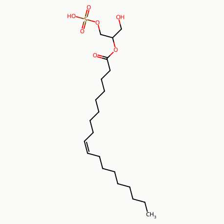 CCCCCCCC/C=C\CCCCCCCC(=O)OC(CO)COS(=O)(=O)O